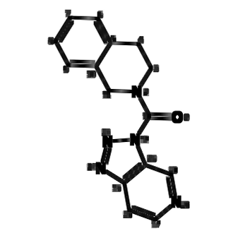 O=C(N1CCc2ccccc2C1)n1nnc2ccncc21